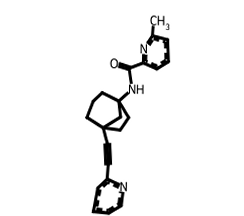 Cc1cccc(C(=O)NC23CCCC(C#Cc4ccccn4)(CC2)C3)n1